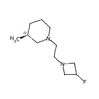 C[C@H]1CCCN(CCN2CC(F)C2)C1